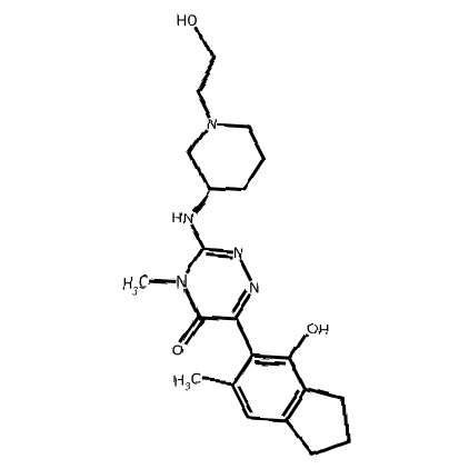 Cc1cc2c(c(O)c1-c1nnc(N[C@@H]3CCCN(CCO)C3)n(C)c1=O)CCC2